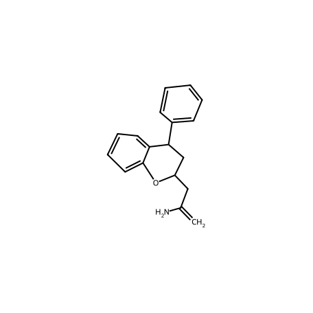 C=C(N)CC1CC(c2ccccc2)c2ccccc2O1